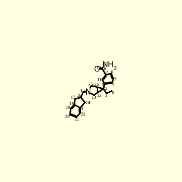 CCC1(c2cccc(C(N)=O)c2)C2CN(CC3Cc4ccccc4C3)CC21